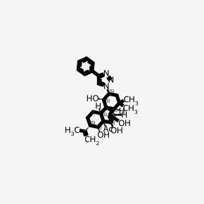 C=C(C)[C@@H]1CC[C@H]2[C@@]34CO[C@@](O)([C@@H](O)[C@@H]3C(C)(C)C[C@H](n3cc(-c5ccccc5)nn3)[C@H]4O)[C@@]2(C(C)=O)[C@@H]1O